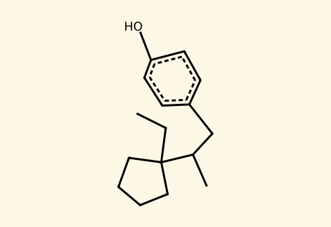 CCC1(C(C)Cc2ccc(O)cc2)CCCC1